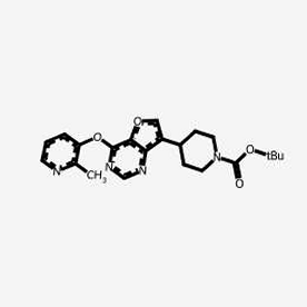 Cc1ncccc1Oc1ncnc2c(C3CCN(C(=O)OC(C)(C)C)CC3)coc12